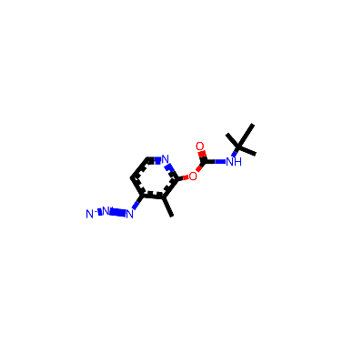 Cc1c(N=[N+]=[N-])ccnc1OC(=O)NC(C)(C)C